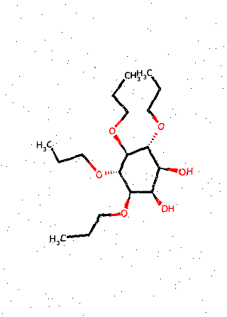 CCCO[C@@H]1[C@@H](OCCC)[C@H](OCCC)[C@@H](O)[C@@H](O)[C@H]1OCCC